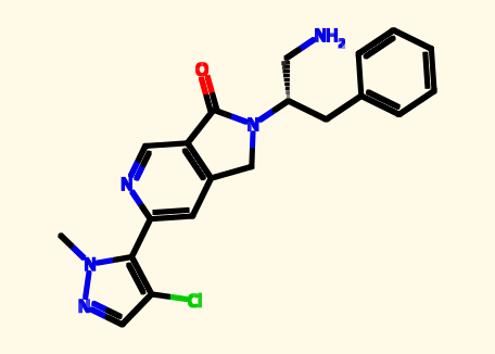 Cn1ncc(Cl)c1-c1cc2c(cn1)C(=O)N([C@H](CN)Cc1ccccc1)C2